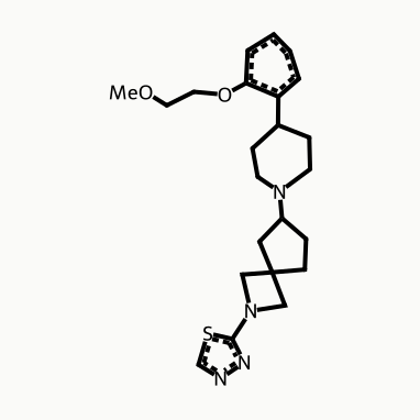 COCCOc1ccccc1C1CCN(C2CCC3(C2)CN(c2nncs2)C3)CC1